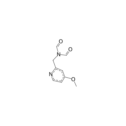 COc1ccnc(CN(C=O)C=O)c1